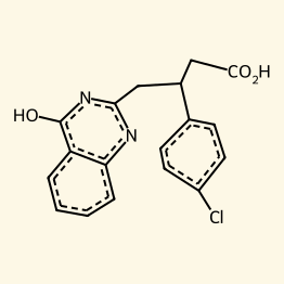 O=C(O)CC(Cc1nc(O)c2ccccc2n1)c1ccc(Cl)cc1